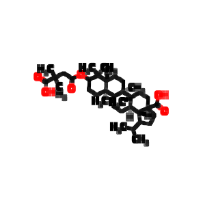 CC(C)C1CCC2(C(=O)O)CC[C@]3(C)[C@H](CCC4[C@@]5(C)CCC(OC(=O)CC(C)(C)C(=O)O)C(C)(C)[C@@H]5CC[C@]43C)[C@@H]12